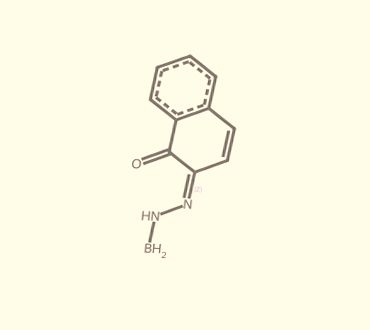 BN/N=C1/C=Cc2ccccc2C1=O